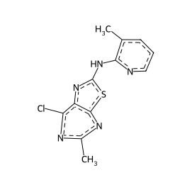 Cc1nc(Cl)c2nc(Nc3ncccc3C)sc2n1